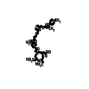 C=C(CCSCc1cccc(CSCCC(=O)NC2(C)CCN(C(=O)CN3CCN(CC(=O)O)CCN(CC(=O)O)CCN(CC(=O)N=O)CC3)CC2)n1)NC1CCN(C)CC1